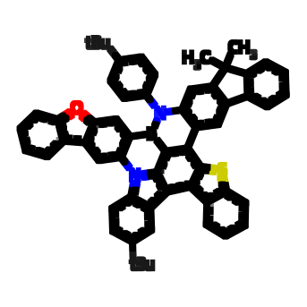 CC(C)(C)c1ccc(N2B3c4cc5oc6ccccc6c5cc4-n4c5ccc(C(C)(C)C)cc5c5c6c(sc7ccccc76)c(c3c54)-c3cc4c(cc32)C(C)(C)c2ccccc2-4)cc1